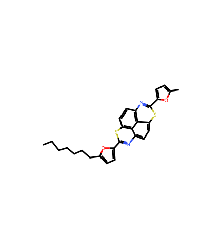 CCCCCCCc1ccc(C2=Nc3ccc4c5c(ccc(c35)S2)N=C(c2ccc(C)o2)S4)o1